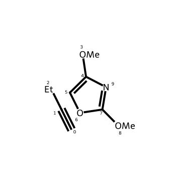 C#CCC.COc1coc(OC)n1